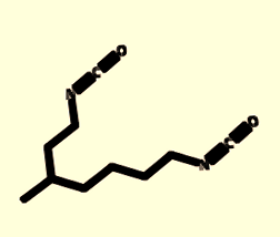 CC(CCCCN=C=O)CCN=C=O